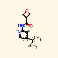 CC(C)c1ccnc(NC(=O)C2COC2)c1